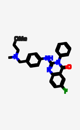 COCCN(C)Cc1ccc(Nc2nc3ccc(F)cc3c(=O)n2-c2ccccc2)cc1